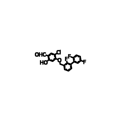 O=Cc1cc(Cl)c(OCc2cccc(-c3cc(F)ccc3F)c2F)cc1O